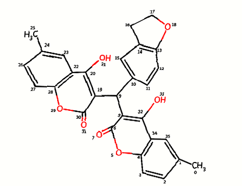 Cc1ccc2oc(=O)c(C(c3ccc4c(c3)CCO4)c3c(O)c4cc(C)ccc4oc3=O)c(O)c2c1